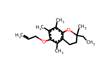 C=CCOc1c(C)c(C)c2c(c1C)CCC(C)(CC)O2